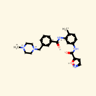 Cc1ccc(NC(=O)c2ccno2)cc1NC(=O)c1cccc(CN2CCN(C)CC2)c1